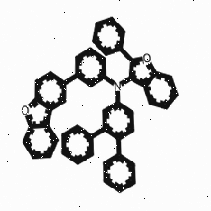 c1ccc(-c2ccc(N(c3cccc(-c4ccc5oc6ccccc6c5c4)c3)c3c(-c4ccccc4)oc4ccccc34)cc2-c2ccccc2)cc1